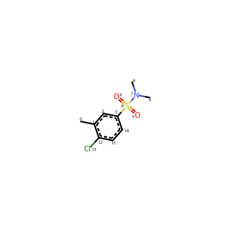 Cc1cc(S(=O)(=O)N(C)C)ccc1Cl